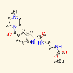 CCN1CCN(C(=O)c2ccc3[nH]c(C(=O)NCCNC(=O)OC(C)(C)C)cc3c2)CC1